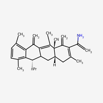 C=C(N)C1=C(C)C[C@@H]2CC3C(=C(C)[C@]2(C#N)C1=C)C(=C)c1c(C)ccc(C)c1[C@H]3CCC